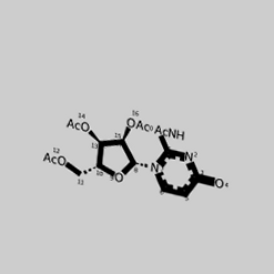 CC(=O)Nc1nc(=O)ccn1[C@@H]1O[C@H](COC(C)=O)[C@@H](OC(C)=O)[C@H]1OC(C)=O